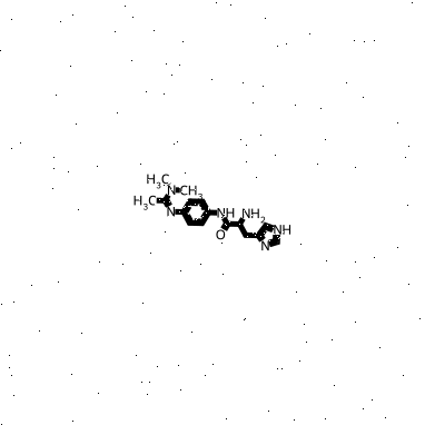 CC(=Nc1ccc(NC(=O)C(N)Cc2c[nH]cn2)cc1)N(C)C